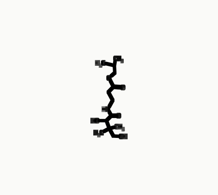 CC(C)COC(=O)CCNC(=O)C(O)C(C)(C)CO